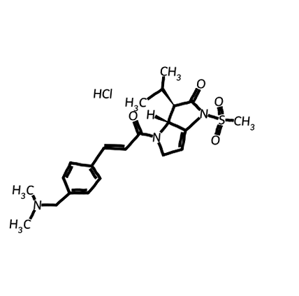 CC(C)[C@H]1C(=O)N(S(C)(=O)=O)C2=CCN(C(=O)C=Cc3ccc(CN(C)C)cc3)[C@@H]21.Cl